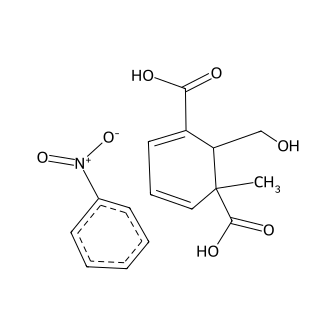 CC1(C(=O)O)C=CC=C(C(=O)O)C1CO.O=[N+]([O-])c1ccccc1